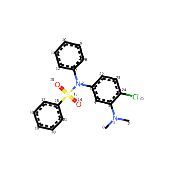 CN(C)c1cc(N(c2ccccc2)S(=O)(=O)c2ccccc2)ccc1Cl